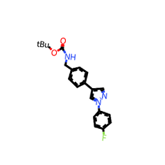 CC(C)(C)OC(=O)NCc1ccc(-c2cnn(-c3ccc(F)cc3)c2)cc1